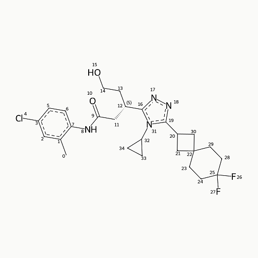 Cc1cc(Cl)ccc1NC(=O)C[C@H](CCO)c1nnc(C2CC3(CCC(F)(F)CC3)C2)n1C1CC1